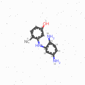 N#Cc1ccc(O)cc1Nc1cc(N)ccc1N